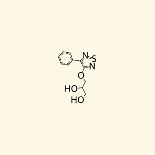 OCC(O)COc1nsnc1-c1ccccc1